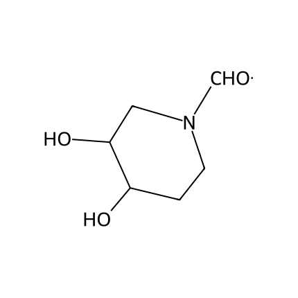 O=[C]N1CCC(O)C(O)C1